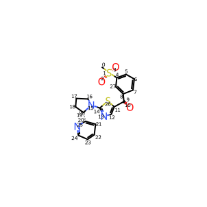 CS(=O)(=O)c1cccc(C(=O)c2cnc(N3CCC[C@H]3c3ccccn3)s2)c1